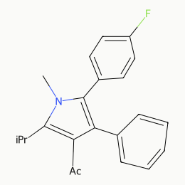 CC(=O)c1c(-c2ccccc2)c(-c2ccc(F)cc2)n(C)c1C(C)C